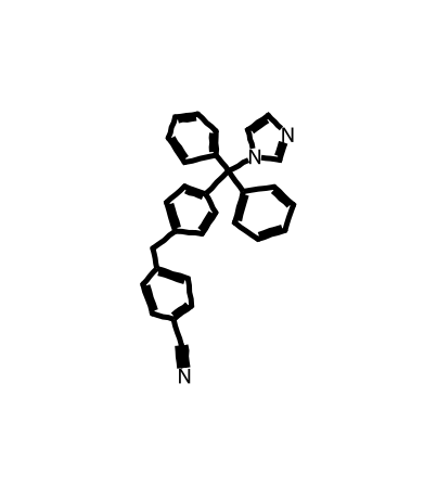 N#Cc1ccc(Cc2ccc(C(c3ccccc3)(c3ccccc3)n3ccnc3)cc2)cc1